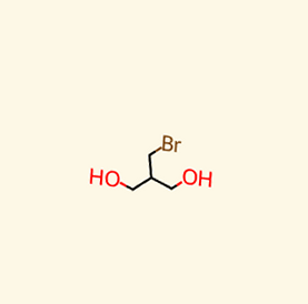 OCC(CO)CBr